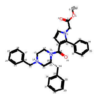 CC(C)(C)OC(=O)Cn1ccc(C(=O)N2CCN(Cc3ccccc3)C[C@H]2Cc2ccccc2)c1-c1ccccc1